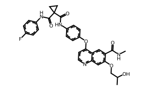 CNC(=O)c1cc2c(Oc3ccc(NC(=O)C4(C(=O)Nc5ccc(F)cc5)CC4)cc3)ccnc2cc1OCC(C)O